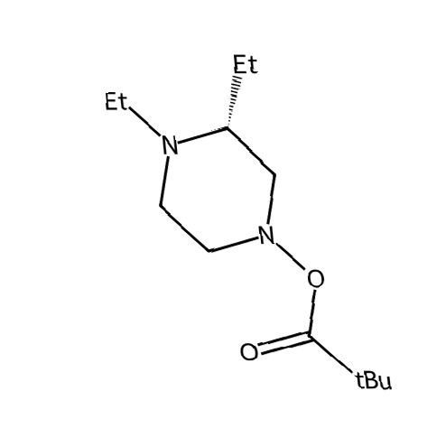 CC[C@@H]1CN(OC(=O)C(C)(C)C)CCN1CC